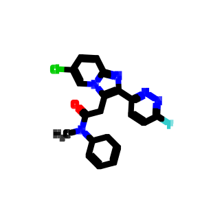 CN(C(=O)Cc1c(-c2ccc(F)nn2)nc2ccc(Cl)cn12)C1C=CC=CC1